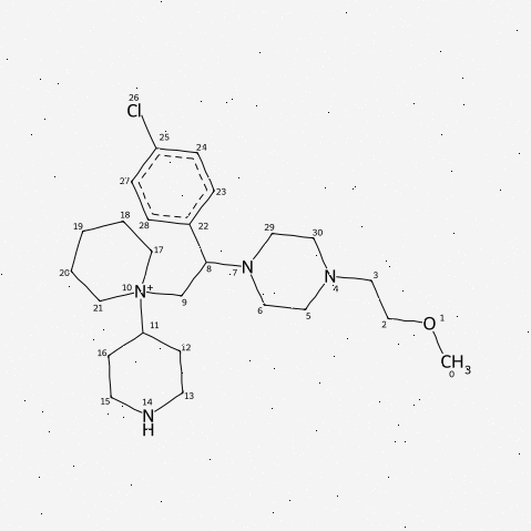 COCCN1CCN(C(C[N+]2(C3CCNCC3)CCCCC2)c2ccc(Cl)cc2)CC1